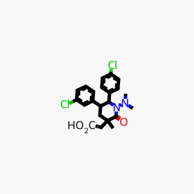 CN(C)N1C(=O)C(C)(CC(=O)O)CC(c2cccc(Cl)c2)C1c1ccc(Cl)cc1